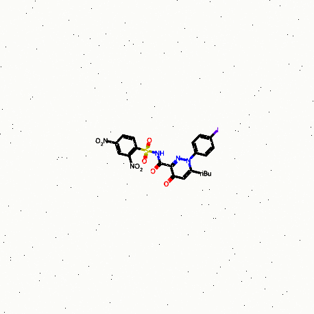 CCCCc1cc(=O)c(C(=O)NS(=O)(=O)c2ccc([N+](=O)[O-])cc2[N+](=O)[O-])nn1-c1ccc(I)cc1